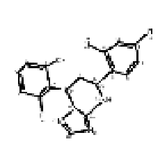 Fc1cccc(Cl)c1[C@H]1C[C@@H](c2ccc(Cl)cc2Cl)Nc2ncnn21